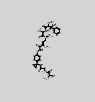 CN[C@H](C(=O)NC(C(=O)N(C)C/C=C(\C)C(=O)NSc1ccc(C2(NC(=O)CNC(=O)C(N)C(C)C)CC2)cc1)C(C)(C)C)C(C)(C)c1ccccc1